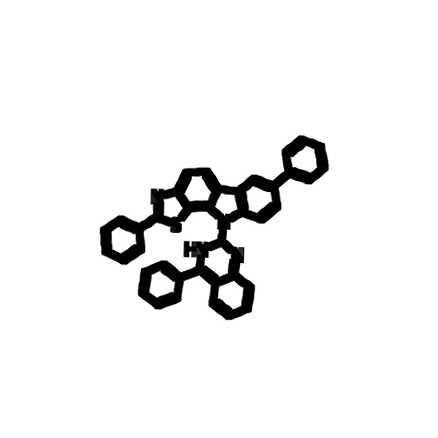 c1ccc(C2=c3ccccc3=NC(n3c4ccc(-c5ccccc5)cc4c4ccc5nc(-c6ccccc6)sc5c43)N2)cc1